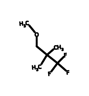 COCC(C)(C)C(F)(F)F